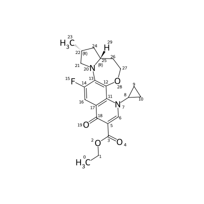 CCOC(=O)c1cn(C2CC2)c2c3c(c(F)cc2c1=O)N1C[C@H](C)C[C@@H]1CCO3